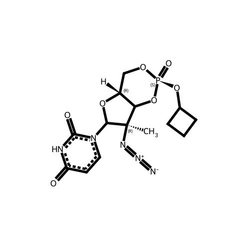 C[C@@]1(N=[N+]=[N-])C2O[P@](=O)(OC3CCC3)OC[C@H]2OC1n1ccc(=O)[nH]c1=O